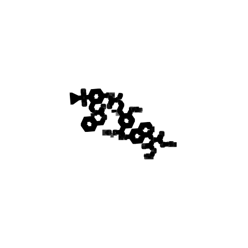 COc1ccc(C(Nc2ccc3c(N(C(=O)OC(C)(C)C)C(=O)OC(C)(C)C)nccc3c2)C(=O)O)cc1[C@H](C)CN(C)C(=O)Nc1ccc(S(=O)(=O)C2CC2)c(CN(C)C(=O)OCc2ccccc2)c1